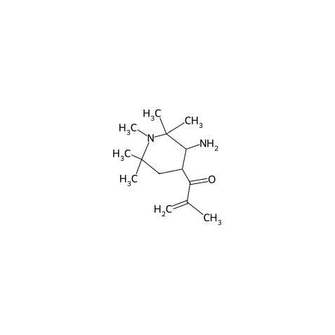 C=C(C)C(=O)C1CC(C)(C)N(C)C(C)(C)C1N